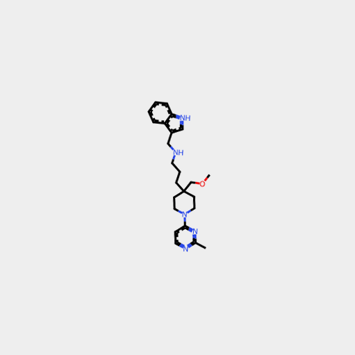 COCC1(CCCNCc2c[nH]c3ccccc23)CCN(c2ccnc(C)n2)CC1